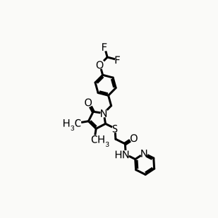 CC1=C(C)C(SCC(=O)Nc2ccccn2)N(Cc2ccc(OC(F)F)cc2)C1=O